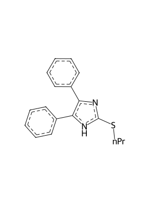 CCCSc1nc(-c2ccccc2)c(-c2ccccc2)[nH]1